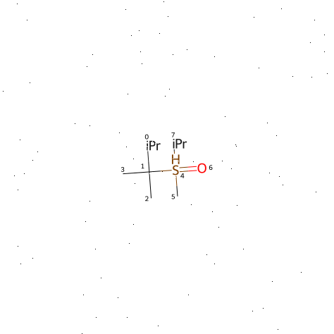 CC(C)C(C)(C)[SH](C)(=O)C(C)C